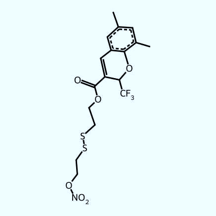 Cc1cc(C)c2c(c1)C=C(C(=O)OCCSSCCO[N+](=O)[O-])C(C(F)(F)F)O2